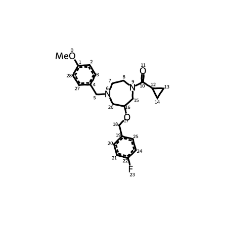 COc1ccc(CN2CCN(C(=O)C3CC3)CC(OCc3ccc(F)cc3)C2)cc1